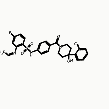 C/C=N\c1cc(F)ccc1S(=O)(=O)Nc1ccc(C(=O)N2CCC(O)(c3ccccc3Cl)CC2)cc1